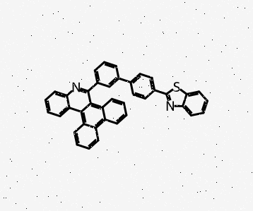 c1cc(-c2ccc(-c3nc4ccccc4s3)cc2)cc(-c2nc3ccccc3c3c4ccccc4c4ccccc4c23)c1